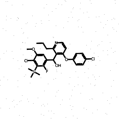 CCCc1nccc(Oc2ccc(Cl)cc2)c1C(O)c1cc(OC)c(Cl)c([Si](C)(C)C)c1F